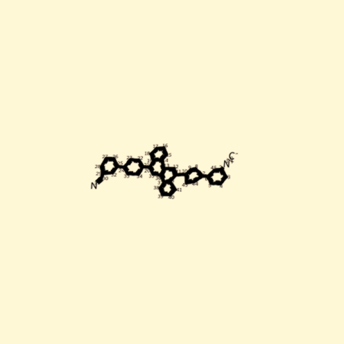 [C-]#[N+]c1cccc(-c2ccc(-c3cc4c5ccccc5c(-c5ccc(-c6cccc(C#N)c6)cc5)cc4c4ccccc34)cc2)c1